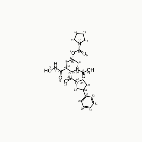 O=C(NO)[C@H]1C[C@H](OC(=O)N2CCCC2)CN(C(=O)O)[C@@H]1C(=O)N1CCC(c2ccccc2)C1